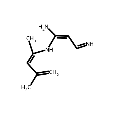 C=C(C)/C=C(/C)N/C(N)=C\C=N